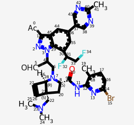 CC(=O)c1nn(C(C=O)CN2[C@H](C(=O)Nc3nc(Br)ccc3C)C[C@@]3(CN(C)C)C#C[C@@H]23)c2c(C(F)CF)cc(-c3cnc(C)nc3)cc12